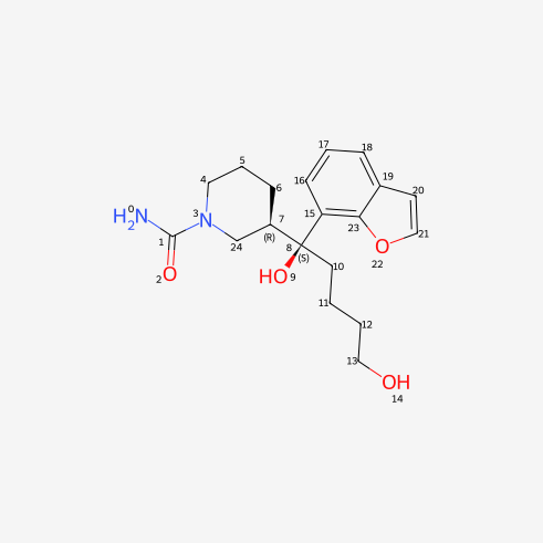 NC(=O)N1CCC[C@@H]([C@@](O)(CCCCO)c2cccc3ccoc23)C1